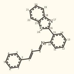 C(=Cc1ccccc1)C=Nc1ccccc1-c1nc2ccccc2s1